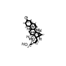 C[C@]12CC[C@H]3[C@@H](C=CC4=CC(=O)CC[C@@H]43)[C@@H]1[C@@H]1C[C@@H]1[C@@]2(O)/C=C\OC(=O)O